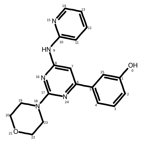 Oc1cccc(-c2cc(Nc3ccccn3)nc(N3CCOCC3)n2)c1